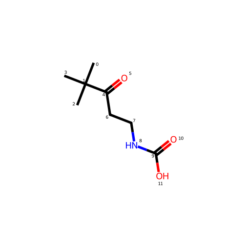 CC(C)(C)C(=O)CCNC(=O)O